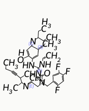 C=CN/C(=N\C(=O)N(C/C(C)=N/C(C)C(C)C#CCC)Cc1cc(F)c(F)cc1F)NC1=CC(=C/C)/C(=N\C(CC)CC)C=C1O